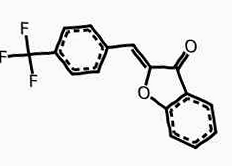 O=C1/C(=C/c2ccc(C(F)(F)F)cc2)Oc2ccccc21